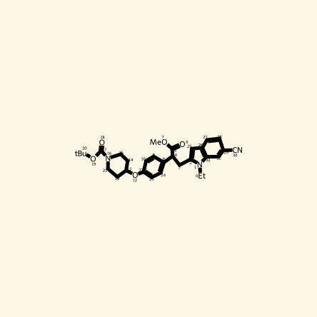 CCn1c(CC(C(=O)OC)c2ccc(OC3CCN(C(=O)OC(C)(C)C)CC3)cc2)cc2ccc(C#N)cc21